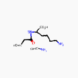 CCCCCCCCCCCC(=O)NC(CCCCN)C(=O)O.NC=O